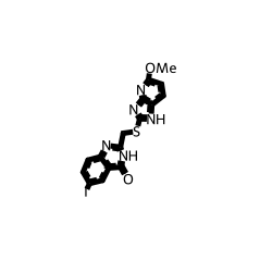 COc1ccc2[nH]c(SCc3nc4ccc(I)cc4c(=O)[nH]3)nc2n1